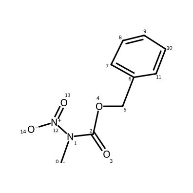 [CH2]N(C(=O)OCc1ccccc1)[N+](=O)[O-]